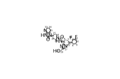 O=C(N[C@@H]1CC[C@@H](c2cccc(F)c2F)Cn2cc(CO)nc21)N1CCC(n2c(=O)[nH]c3ncccc32)CC1